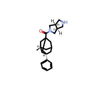 C[C@]12CC3CC(C(=O)N4C[C@H]5CNC[C@H]5C4)(C1)C[C@@](c1ccccc1)(C3)C2